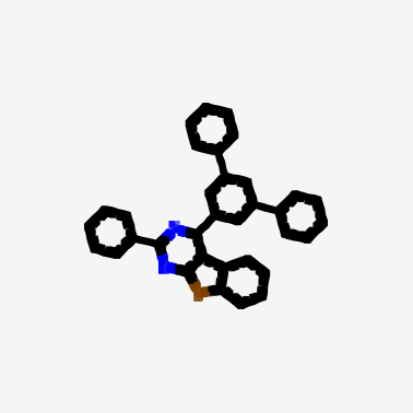 c1ccc(-c2cc(-c3ccccc3)cc(-c3nc(-c4ccccc4)nc4sc5ccccc5c34)c2)cc1